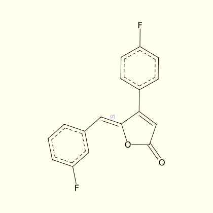 O=C1C=C(c2ccc(F)cc2)/C(=C/c2cccc(F)c2)O1